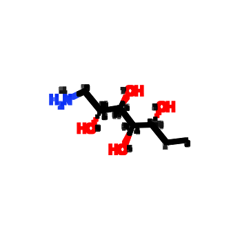 CC[C@@H](O)[C@@H](O)[C@H](O)[C@H](O)CN